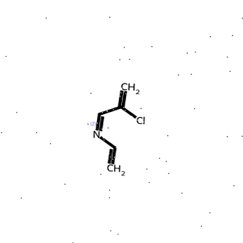 C=C/N=C\C(=C)Cl